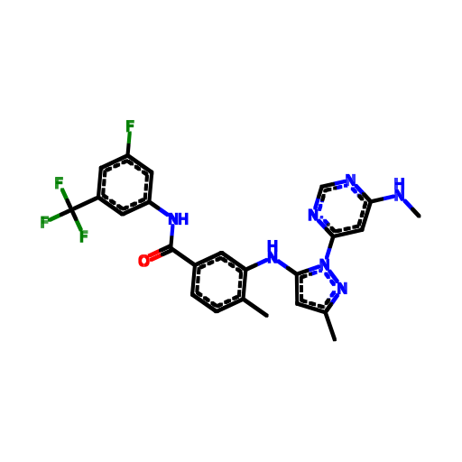 CNc1cc(-n2nc(C)cc2Nc2cc(C(=O)Nc3cc(F)cc(C(F)(F)F)c3)ccc2C)ncn1